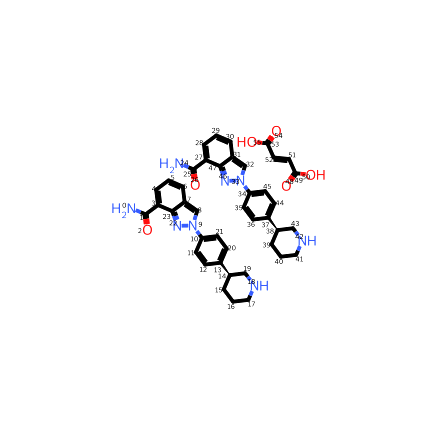 NC(=O)c1cccc2cn(-c3ccc([C@@H]4CCCNC4)cc3)nc12.NC(=O)c1cccc2cn(-c3ccc([C@@H]4CCCNC4)cc3)nc12.O=C(O)C=CC(=O)O